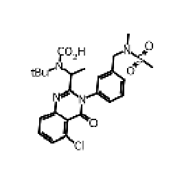 CC(c1nc2cccc(Cl)c2c(=O)n1-c1cccc(CN(C)S(C)(=O)=O)c1)N(C(=O)O)C(C)(C)C